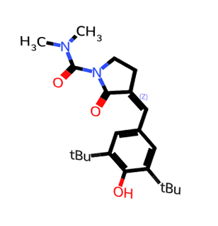 CN(C)C(=O)N1CC/C(=C/c2cc(C(C)(C)C)c(O)c(C(C)(C)C)c2)C1=O